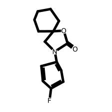 O=C1OC2(CCCCC2)CN1c1ccc(F)cc1